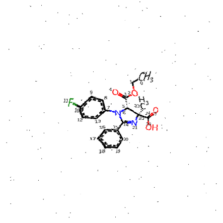 CCOC(=O)[C@H]1N(c2ccc(F)cc2)C(c2ccccc2)=N[C@]1(C)C(=O)O